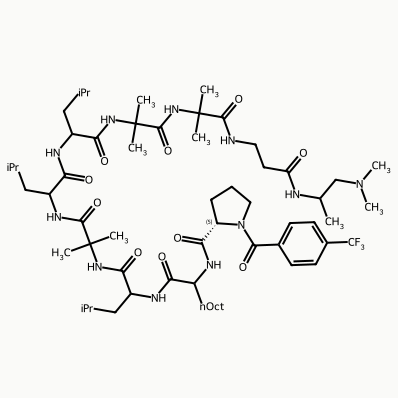 CCCCCCCCC(NC(=O)[C@@H]1CCCN1C(=O)c1ccc(C(F)(F)F)cc1)C(=O)NC(CC(C)C)C(=O)NC(C)(C)C(=O)NC(CC(C)C)C(=O)NC(CC(C)C)C(=O)NC(C)(C)C(=O)NC(C)(C)C(=O)NCCC(=O)NC(C)CN(C)C